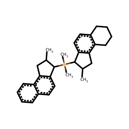 CC1Cc2c(ccc3c2CCCC3)C1S(C)(C)C1c2ccc3ccccc3c2CC1C